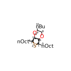 CCCCCCCCc1sc(CCCCCCCC)c2c1OCC(CCCC)O2